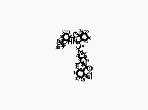 O=C(N[C@@H](CCN1CC2=CN(C(=O)c3c(F)cccc3Cl)CC2C1)c1ccccc1)c1cccc(C(F)(F)F)c1